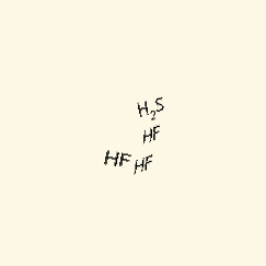 F.F.F.S